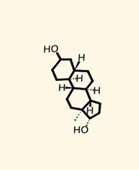 C[C@]12CC[C@H]3[C@@H](CC[C@H]4CC(O)CC[C@@H]43)[C@@H]1CC[C@@H]2O